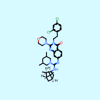 CC1CC(C)CN(C(=Nc2ccc3c(=O)n(CCc4ccc(Cl)cc4Cl)c(N4CCOCC4)nc3c2)N[C@H]2C[C@H]3C[C@H]([C@H]2C)C3(C)C)C1